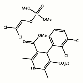 CCOC(=O)C1=C(C)NC(C)=C(C(=O)OC)C1c1cccc(Cl)c1Cl.COP(=O)(OC)OC=C(Cl)Cl